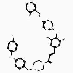 Cc1cc(/C=C/C(=O)N2CCN(Cc3ccc(Oc4ccc(Cl)cc4)cc3)CC2)cc(Cl)c1Oc1ccc(OCc2ccccc2Cl)cn1